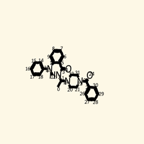 CC(NC(=O)c1ccccc1N(C)c1ccccc1)N1CCN(C(=O)c2ccccc2)CC1